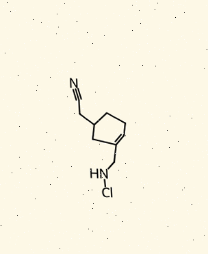 N#CCC1CCC=C(CNCl)C1